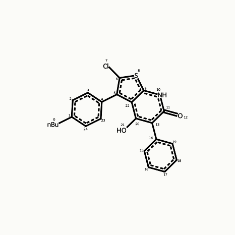 CCCCc1ccc(-c2c(Cl)sc3[nH]c(=O)c(-c4ccccc4)c(O)c23)cc1